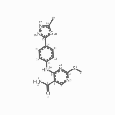 CSc1ncc(C(N)=O)c(Nc2ccc(-c3nnc(C)s3)cc2)n1